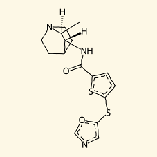 C[C@H]1[C@H](NC(=O)c2ccc(Sc3cnco3)s2)C2CCN1CC2